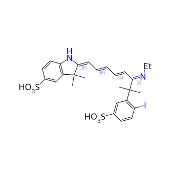 CC\N=C(/C=C/C=C/C=C1/Nc2ccc(S(=O)(=O)O)cc2C1(C)C)C(C)(C)c1cc(S(=O)(=O)O)ccc1I